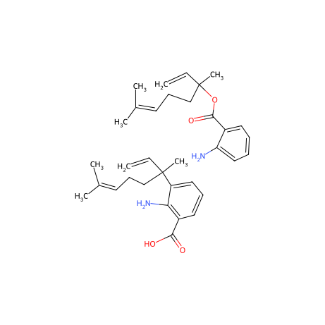 C=CC(C)(CCC=C(C)C)OC(=O)c1ccccc1N.C=CC(C)(CCC=C(C)C)c1cccc(C(=O)O)c1N